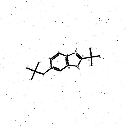 CC(C)(C)Cc1ccc2nc(C(C)(C)C)oc2c1